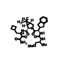 COC[C@@H](NC(=O)N[C@H](C(=O)N1C[C@H]2[C@@H]([C@H]1C(=O)NC(CC1CCC1)C(=O)C(N)=O)C2(C)C)C1Cc2ccccc2C1)C(C)(C)C